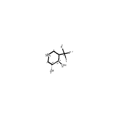 O[C@@H]1CNCC(C(F)(F)F)[C@H]1O